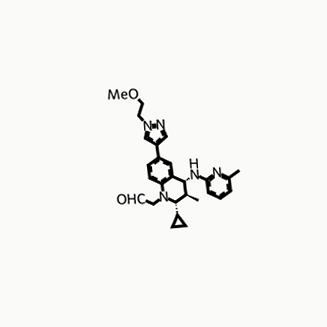 COCCn1cc(-c2ccc3c(c2)[C@H](Nc2cccc(C)n2)[C@@H](C)[C@H](C2CC2)N3CC=O)cn1